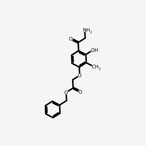 Cc1c(OCC(=O)OCc2ccccc2)ccc(C(=O)CN)c1O